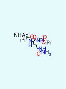 CC(=O)NC(C(=O)NC(CCCNC(N)=O)C(=O)NCC(=O)OC(C)C)C(C)C